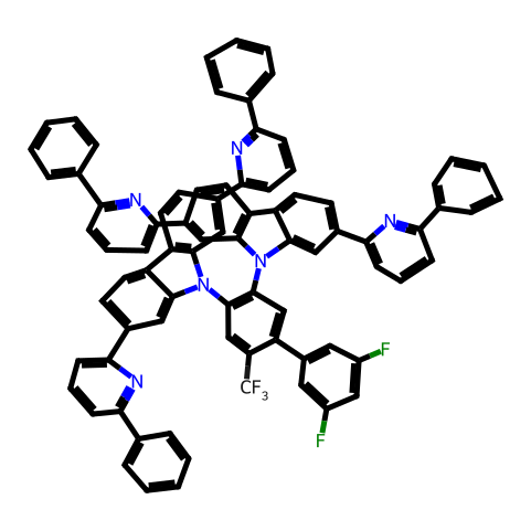 Fc1cc(F)cc(-c2cc(-n3c4cc(-c5cccc(-c6ccccc6)n5)ccc4c4ccc(-c5cccc(-c6ccccc6)n5)cc43)c(-n3c4cc(-c5cccc(-c6ccccc6)n5)ccc4c4ccc(-c5cccc(-c6ccccc6)n5)cc43)cc2C(F)(F)F)c1